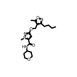 CCCCc1noc(C)c1COc1cc(C(=O)NC2CCOCC2)n(C)n1